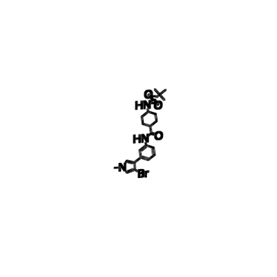 Cn1cc(Br)c(-c2cccc(NC(=O)C3CCC(NS(=O)(=O)C(C)(C)C)CC3)c2)c1